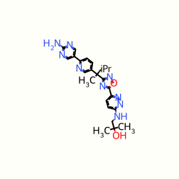 CC(C)C(C)(c1ccc(-c2cnc(N)nc2)nc1)c1noc(-c2ccc(NCC(C)(C)O)nn2)n1